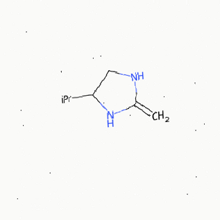 C=C1NCC(C(C)C)N1